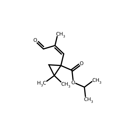 CC(C=O)=CC1(C(=O)OC(C)C)CC1(C)C